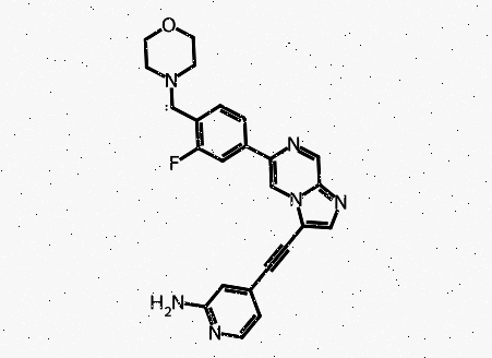 Nc1cc(C#Cc2cnc3cnc(-c4ccc([C]N5CCOCC5)c(F)c4)cn23)ccn1